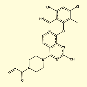 C=CC(=O)N1CCN(c2nc(O)nc3c(Oc4c(C)c(Cl)cc(N)c4C=N)nccc23)CC1